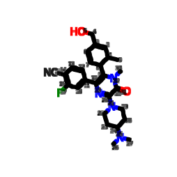 CC1C=C(CO)C=CC1c1c(-c2ccc(C#N)c(F)c2)nc(N2CCC(N(C)C)CC2)c(=O)n1C